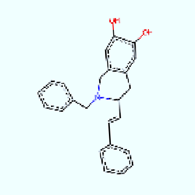 Oc1cc2c(cc1O)CN(Cc1ccccc1)C(C=Cc1ccccc1)C2